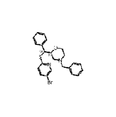 Brc1ccc(S[C@@H](c2ccccc2)[C@@H]2CN(Cc3ccccc3)CCO2)nc1